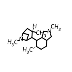 C[C@@H]1CC2CC(C1C1C3CN(C)CC3CC[C@@H]1C)N2C